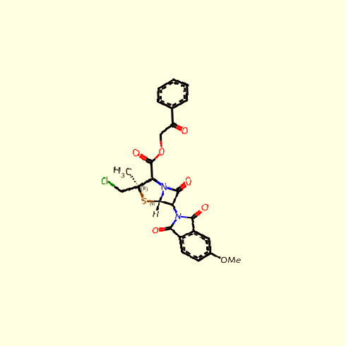 COc1ccc2c(c1)C(=O)N(C1C(=O)N3C(C(=O)OCC(=O)c4ccccc4)[C@](C)(CCl)S[C@@H]13)C2=O